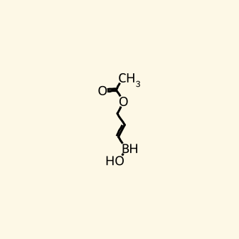 CC(=O)OC/C=C/BO